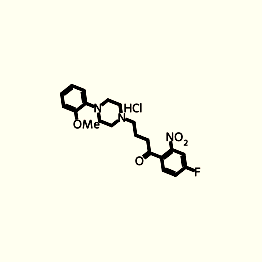 COc1ccccc1N1CCN(CCCC(=O)c2ccc(F)cc2[N+](=O)[O-])CC1.Cl